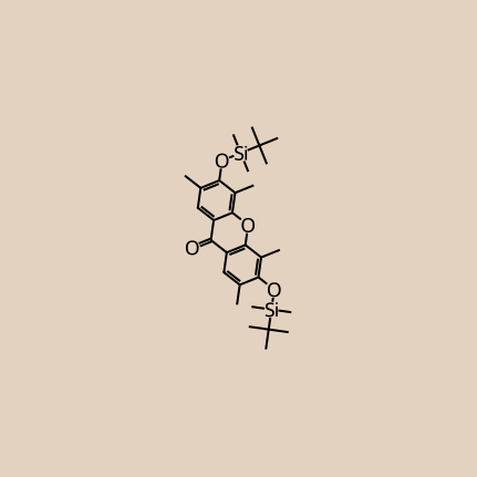 Cc1cc2c(=O)c3cc(C)c(O[Si](C)(C)C(C)(C)C)c(C)c3oc2c(C)c1O[Si](C)(C)C(C)(C)C